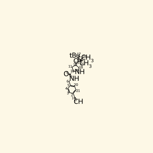 C#Cc1ccc(CNC(=O)[C@@H]2C[C@@H](O[Si](C)(C)C(C)(C)C)CN2)cc1